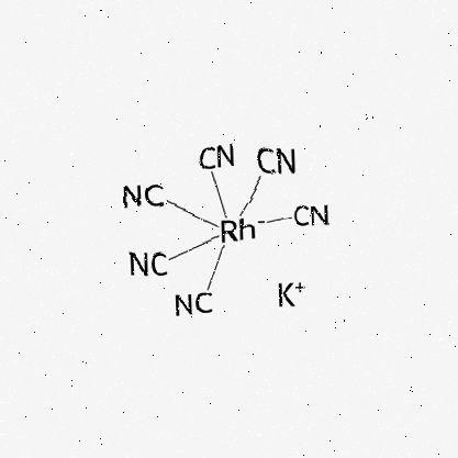 N#[C][Rh-]([C]#N)([C]#N)([C]#N)([C]#N)[C]#N.[K+]